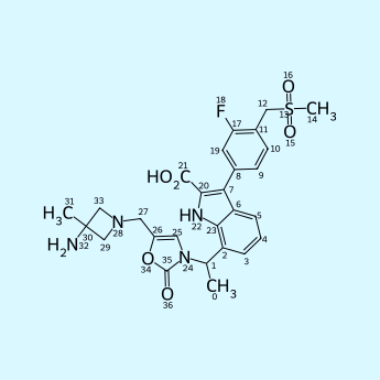 CC(c1cccc2c(-c3ccc(CS(C)(=O)=O)c(F)c3)c(C(=O)O)[nH]c12)n1cc(CN2CC(C)(N)C2)oc1=O